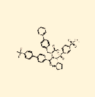 CS(=O)(=O)c1ccc(S(=O)(=O)C([C@@H]2CCCN2)N(C(=O)c2ccc(-c3ccc(C(F)(F)F)cc3)cc2)[C@@H](Cc2ccc(-c3ccccc3)cc2)C(=O)O)cc1